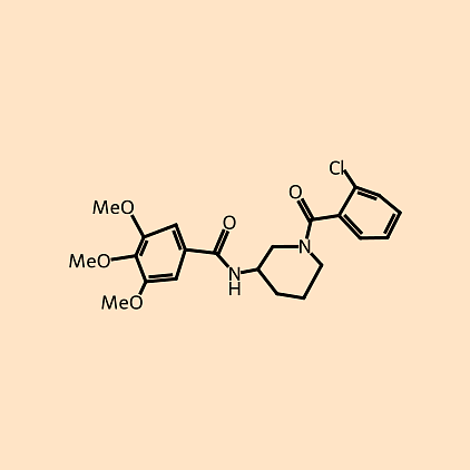 COc1cc(C(=O)NC2CCCN(C(=O)c3ccccc3Cl)C2)cc(OC)c1OC